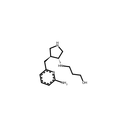 Nc1cccc(C[C@H]2CNC[C@@H]2NCCCO)n1